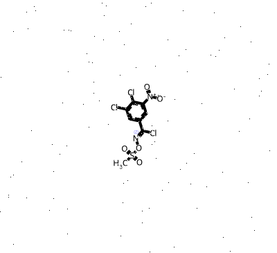 CS(=O)(=O)O/N=C(\Cl)c1cc(Cl)c(Cl)c([N+](=O)[O-])c1